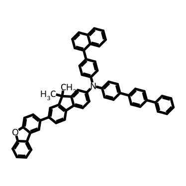 CC1(C)c2cc(-c3ccc4oc5ccccc5c4c3)ccc2-c2ccc(N(c3ccc(-c4ccc(-c5ccccc5)cc4)cc3)c3ccc(-c4cccc5ccccc45)cc3)cc21